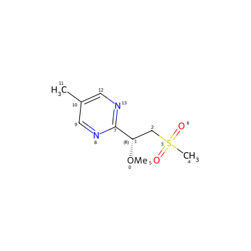 CO[C@@H](CS(C)(=O)=O)c1ncc(C)cn1